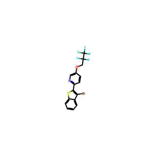 FC(F)(F)C(F)(F)COc1ccc(-c2sc3ccccc3c2Br)nc1